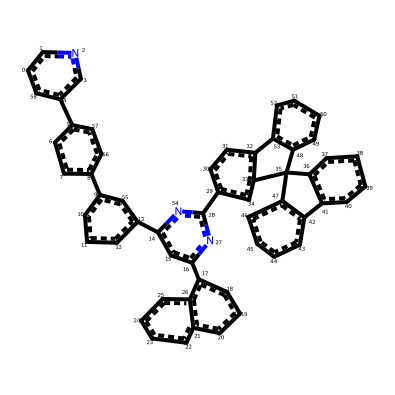 c1cncc(-c2ccc(-c3cccc(-c4cc(-c5cccc6ccccc56)nc(-c5ccc6c(c5)C5(c7ccccc7-c7ccccc75)c5ccccc5-6)n4)c3)cc2)c1